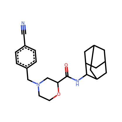 N#Cc1ccc(CN2CCOC(C(=O)NC3C4CC5CC(C4)CC3C5)C2)cc1